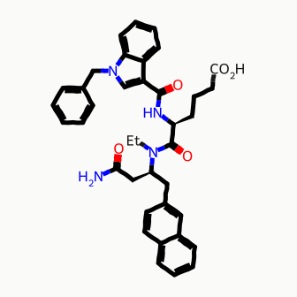 CCN(C(=O)[C@H](CCCC(=O)O)NC(=O)c1cn(Cc2ccccc2)c2ccccc12)[C@H](CC(N)=O)Cc1ccc2ccccc2c1